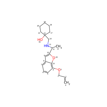 C=CCOc1cccc2cc(C(C)NCC3(O)CCCCC3)oc12